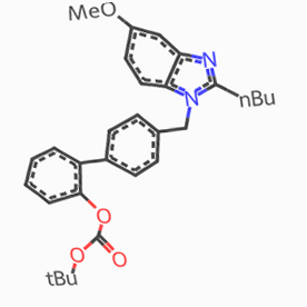 CCCCc1nc2cc(OC)ccc2n1Cc1ccc(-c2ccccc2OC(=O)OC(C)(C)C)cc1